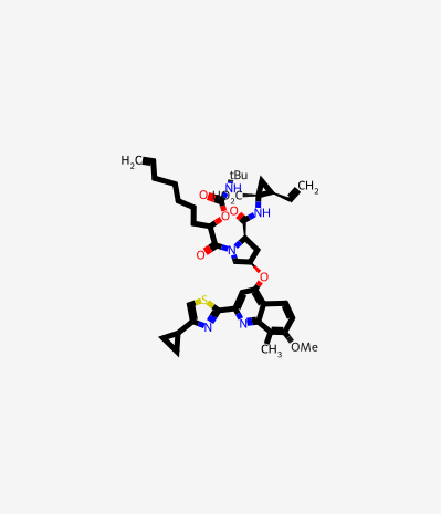 C=CCCCCCC(OC(=O)NC(C)(C)C)C(=O)N1C[C@H](Oc2cc(-c3nc(C4CC4)cs3)nc3c(C)c(OC)ccc23)C[C@@H]1C(=O)N[C@]1(C(=O)O)C[C@H]1C=C